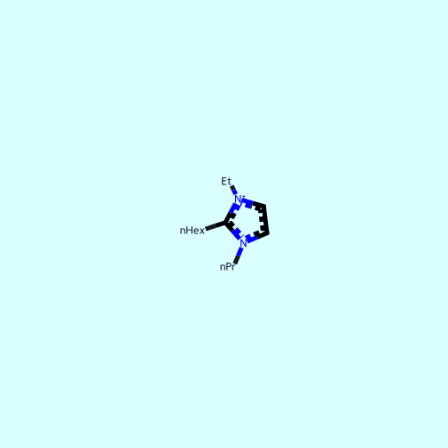 CCCCCCc1n(CCC)cc[n+]1CC